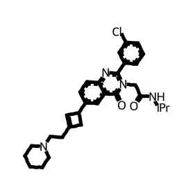 CC(C)NC(=O)Cn1c(-c2cccc(Cl)c2)nc2ccc(C3C=C(CCN4CCCCC4)C3)cc2c1=O